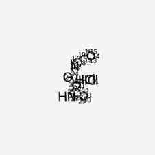 Cl.Cl.O=C(CCN1CCC(Cc2ccccc2)CC1)c1ccc2c(c1)CNCc1ccccc1-2